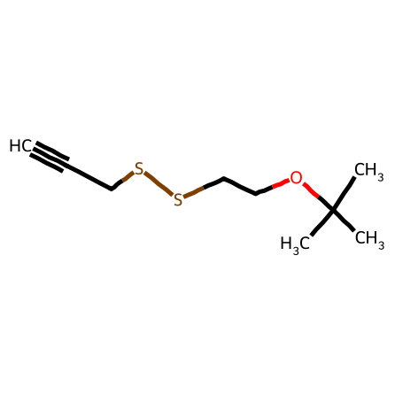 C#CCSSCCOC(C)(C)C